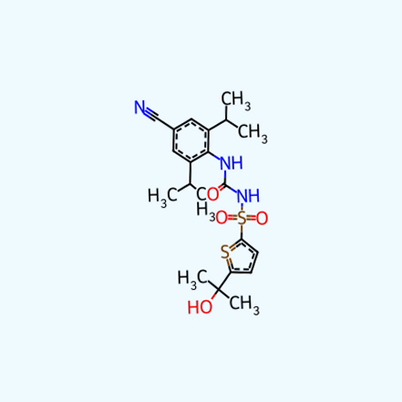 CC(C)c1cc(C#N)cc(C(C)C)c1NC(=O)NS(=O)(=O)c1ccc(C(C)(C)O)s1